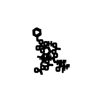 CC(=O)OC[C@@H](OC(C)=O)[C@@H](C)C1O[C@](O)(C(=O)OCc2ccccc2)CC(OC(C)=O)[C@H]1NC(=O)CNC(=O)C(F)(F)F